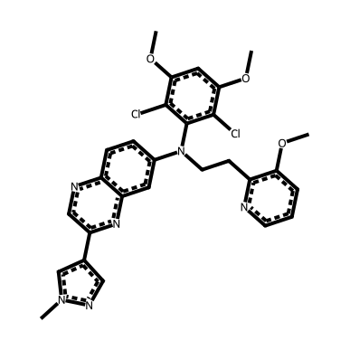 COc1cccnc1CCN(c1ccc2ncc(-c3cnn(C)c3)nc2c1)c1c(Cl)c(OC)cc(OC)c1Cl